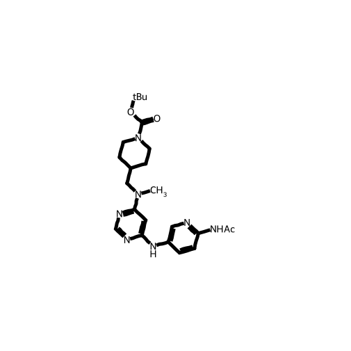 CC(=O)Nc1ccc(Nc2cc(N(C)CC3CCN(C(=O)OC(C)(C)C)CC3)ncn2)cn1